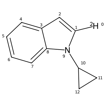 [2H]c1cc2ccccc2n1C1CC1